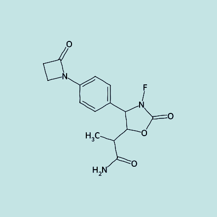 CC(C(N)=O)C1OC(=O)N(F)C1c1ccc(N2CCC2=O)cc1